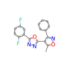 Cc1onc(-c2ccccc2)c1-c1nnc(-c2cc(F)ccc2F)o1